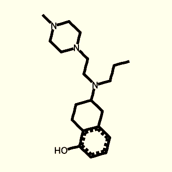 CCCN(CCN1CCN(C)CC1)C1CCc2c(O)cccc2C1